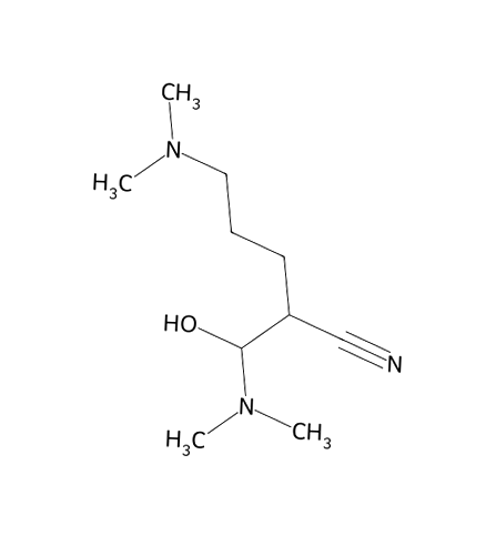 CN(C)CCCC(C#N)C(O)N(C)C